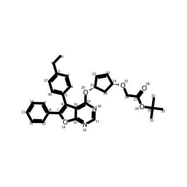 CCc1ccc(-c2c(-c3ccccc3)oc3ncnc(O[C@@H]4C=C[C@H](OCC(=O)OC(C)(C)C)C4)c23)cc1